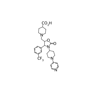 O=C(O)C1CCN(CC2OC(=O)N(C3CCN(c4ccncc4)CC3)C2c2cccc(C(F)(F)F)c2)CC1